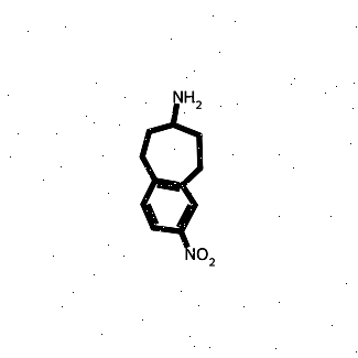 NC1CCc2ccc([N+](=O)[O-])cc2CC1